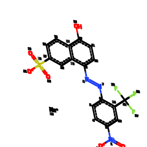 O=[N+]([O-])c1ccc(N=Nc2ccc(O)c3ccc(S(=O)(=O)[O-])cc23)c(C(F)(F)F)c1.[Na+]